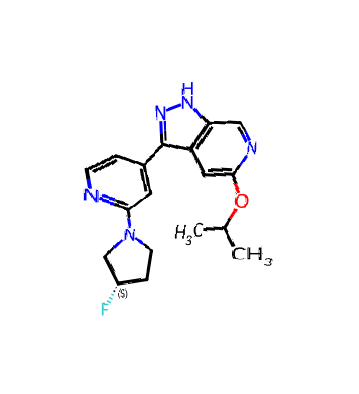 CC(C)Oc1cc2c(-c3ccnc(N4CC[C@H](F)C4)c3)n[nH]c2cn1